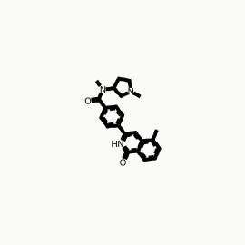 Cc1cccc2c(=O)[nH]c(-c3ccc(C(=O)N(C)C4CCN(C)C4)cc3)cc12